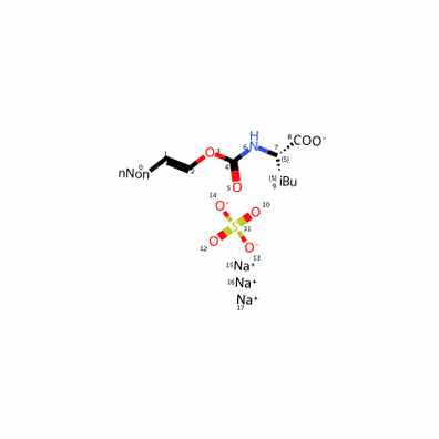 CCCCCCCCCC=COC(=O)N[C@H](C(=O)[O-])[C@@H](C)CC.O=S(=O)([O-])[O-].[Na+].[Na+].[Na+]